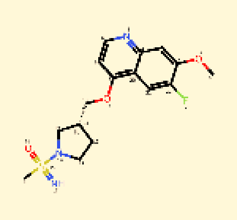 COc1cc2nccc(OC[C@@H]3CCN(S(C)(=N)=O)C3)c2cc1F